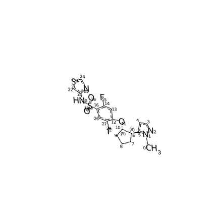 Cn1nccc1[C@H]1CCC[C@@H]1Oc1cc(F)c(S(=O)(=O)Nc2cscn2)cc1F